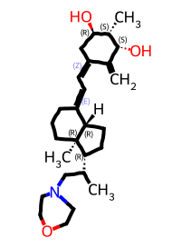 C=C1/C(=C\C=C2/CCC[C@]3(C)[C@@H](C(C)CN4CCOCC4)CC[C@@H]23)C[C@@H](O)[C@H](C)[C@@H]1O